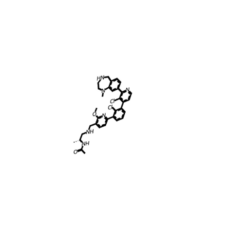 COc1nc(-c2cccc(-c3ccnc(-c4ccc5c(c4)N(C)CCNC5)c3Cl)c2Cl)ccc1CNC[C@@H](C)NC(C)=O